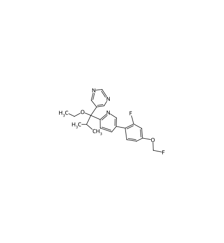 CCOC(c1cncnc1)(c1ccc(-c2ccc(OCF)cc2F)cn1)C(C)C